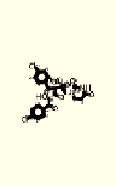 O=C1CCN([C@@H]2O[C@H](C(O)C(=O)c3ccc(Cl)cc3)[C@](O)(C(=O)c3ccc(Cl)cc3)[C@]2(O)Br)C(=O)N1